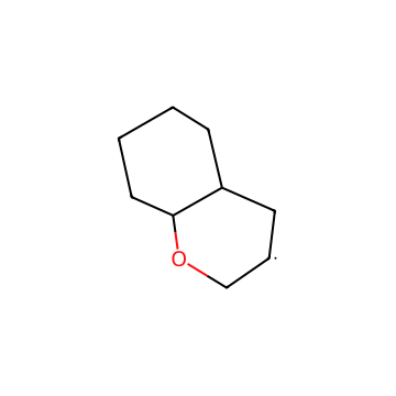 [CH]1COC2CCCCC2C1